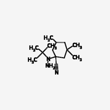 CC1CC(C)(C)CC(C#N)(N(N)C(C)(C)C)C1